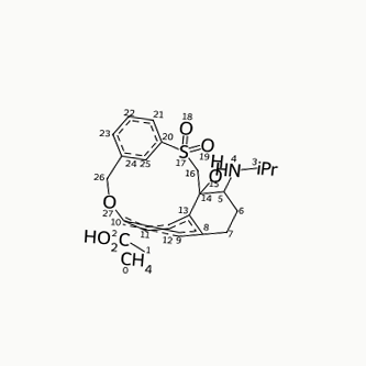 C.CC(=O)O.CC(C)NC1CCc2cc3ccc2C1(O)CS(=O)(=O)c1cccc(c1)CO3